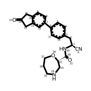 N#C[C@H](Cc1ccc(-c2ccc3c(c2)CC(=O)C3)cc1)NC(=O)[C@@H]1CNCCCO1